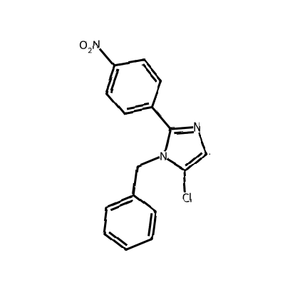 O=[N+]([O-])c1ccc(-c2n[c]c(Cl)n2Cc2ccccc2)cc1